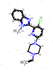 C=CN1CCN(c2ccc(Cl)c(-c3nc4ccccc4n3C)n2)CC1